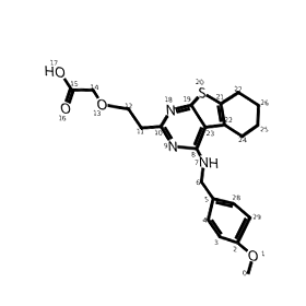 COc1ccc(CNc2nc(CCOCC(=O)O)nc3sc4c(c23)CCCC4)cc1